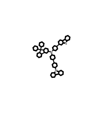 c1ccc(C2(c3ccccc3)c3ccccc3-c3cc(N(c4ccc(-c5ccc(-n6c7ccccc7c7ccccc76)cc5)cc4)c4ccc(-c5ccc6c(c5)sc5ccccc56)cc4)ccc32)cc1